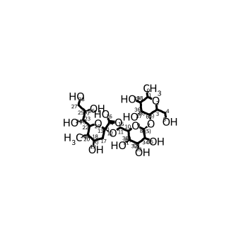 CC1OC(CO)[C@@H](O[C@@H]2OC(CO[C@]3(C(=O)O)C[C@@H](O)[C@@H](C)C([C@H](O)[C@H](O)CO)O3)[C@H](O)[C@H](O)C2O)[C@H](O)C1O